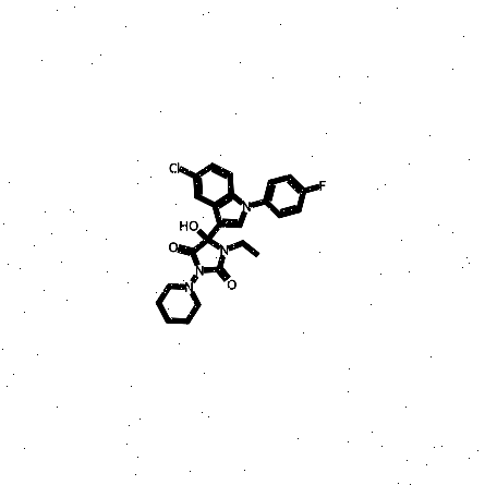 CCN1C(=O)N(N2CCCCC2)C(=O)C1(O)c1cn(-c2ccc(F)cc2)c2ccc(Cl)cc12